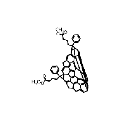 COC(=O)CCCC1(c2ccccc2)C2c3cc4c5c6c7c8c9c%10c%11c%12c%13c%14c%15c%16c(c%17c3c5c8c%17c%15c%139)C21CC%16C=C%14CC%12CC=%11C1C(CCCC(=O)OC)(c2ccccc2)C1(C=C6C4)C%107